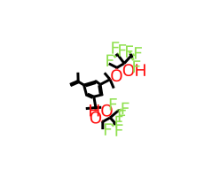 C=C(C)c1cc(C(C)(C)OC(C)C(O)(C(F)(F)F)C(F)(F)F)cc(C(C)(C)OC(C)C(O)(C(F)(F)F)C(F)(F)F)c1